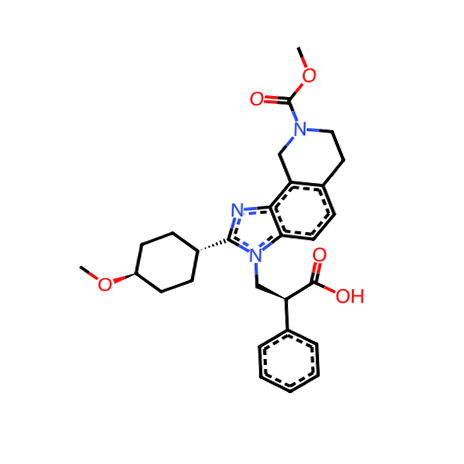 COC(=O)N1CCc2ccc3c(nc([C@H]4CC[C@H](OC)CC4)n3C[C@@H](C(=O)O)c3ccccc3)c2C1